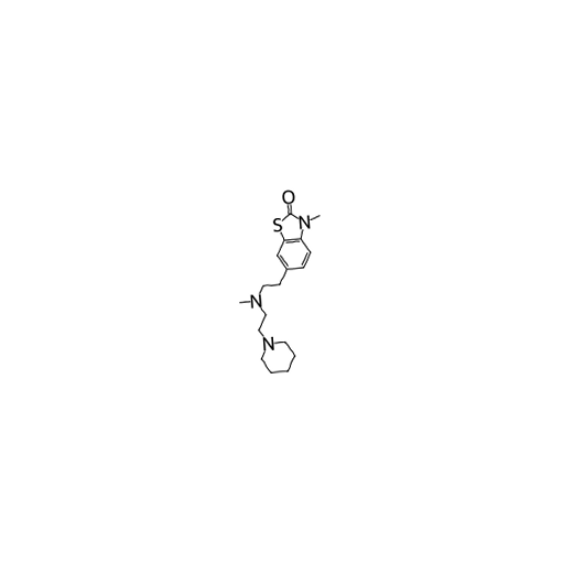 CN(CCc1ccc2c(c1)sc(=O)n2C)CCN1CCCCC1